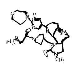 COCC(=O)N1CCC(N2C(=O)N(C)Cc3cnc4ccc(-c5cnc(N6CCOCC6)nc5)nc4c32)CC1